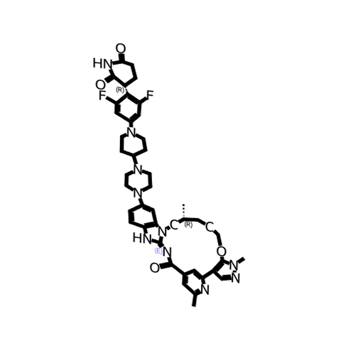 Cc1cc2cc(n1)-c1cnn(C)c1OCCC[C@@H](C)CN1/C(=N/C2=O)Nc2ccc(N3CCN(C4CCN(c5cc(F)c([C@H]6CCC(=O)NC6=O)c(F)c5)CC4)CC3)cc21